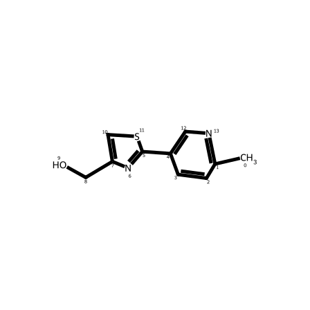 Cc1ccc(-c2nc(CO)cs2)cn1